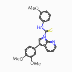 COc1cccc(NC(=S)n2cc(-c3ccc(OC)c(OC)c3)c3cccnc32)c1